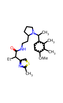 CCC(C(=O)NCCC1CCCN1C(C)c1ccc(OC)c(C)c1C)c1csc(C)n1